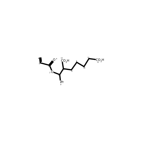 [CH2]C(C)C(OC(=O)C=C)C(CCCCC(=O)O)C(=O)O